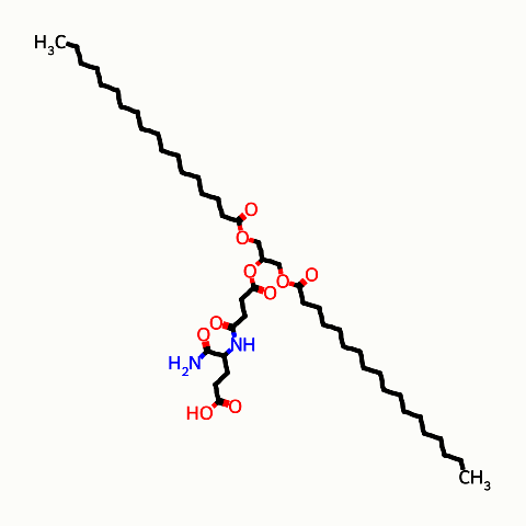 CCCCCCCCCCCCCCCCCC(=O)OCC(COC(=O)CCCCCCCCCCCCCCCCC)OC(=O)CCC(=O)NC(CCC(=O)O)C(N)=O